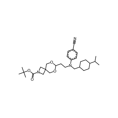 CC(C)C1CCC(CN(CCC2OCC3(CO2)CN(C(=O)OC(C)(C)C)C3)c2ccc(C#N)cc2)CC1